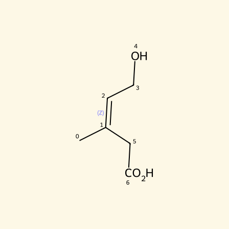 C/C(=C/CO)CC(=O)O